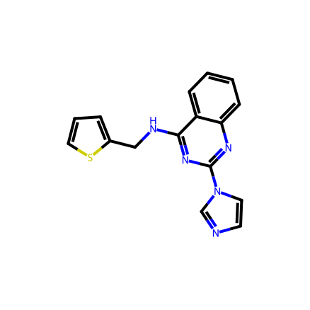 c1csc(CNc2nc(-n3ccnc3)nc3ccccc23)c1